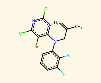 C=C(C)CN(c1cccc(F)c1F)c1nc(Cl)nc(Cl)c1Br